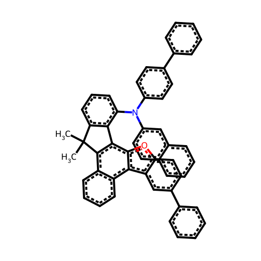 CC1(C)c2cccc(N(c3ccc(-c4ccccc4)cc3)c3ccc4ccccc4c3)c2-c2c1c1ccccc1c1c2oc2ccc(-c3ccccc3)cc21